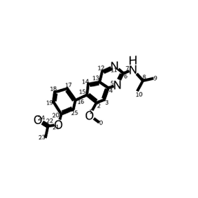 COc1cc2nc(NC(C)C)ncc2cc1-c1cccc(OC(C)=O)c1